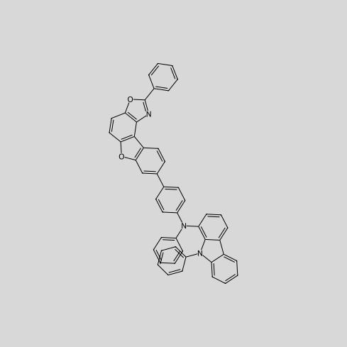 c1ccc(-c2nc3c(ccc4oc5cc(-c6ccc(N(c7ccccc7)c7cccc8c9ccccc9n(-c9ccccc9)c78)cc6)ccc5c43)o2)cc1